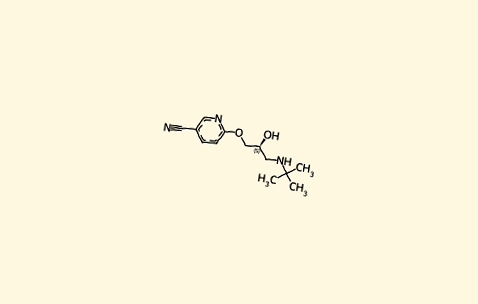 CC(C)(C)NC[C@H](O)COc1ccc(C#N)cn1